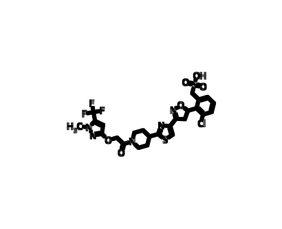 Cn1nc(OCC(=O)N2CCC(c3nc(C4=NOC(c5c(Cl)cccc5CS(=O)(=O)O)C4)cs3)CC2)cc1C(F)(F)F